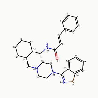 O=C(/C=C/c1ccccc1)NC[C@H]1CCCC[C@@H]1CN1CCN(c2nsc3ccccc23)CC1